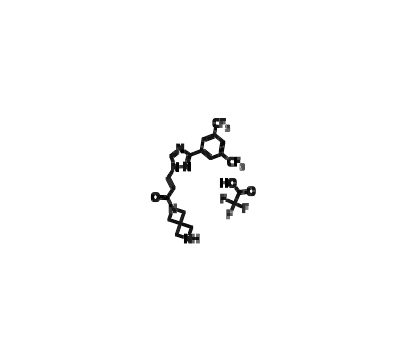 O=C(C=Cn1cnc(-c2cc(C(F)(F)F)cc(C(F)(F)F)c2)n1)N1CC2(CNC2)C1.O=C(O)C(F)(F)F